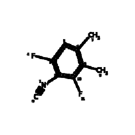 [C-]#[N+]c1c(F)cc(C)c(C)c1F